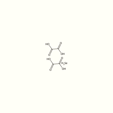 O=C(O)C(=O)O.O=C(O)C(=O)O.[SeH2]